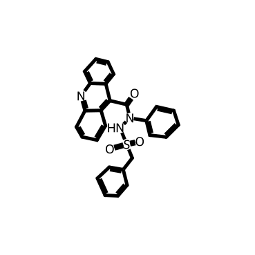 O=C(c1c2ccccc2nc2ccccc12)N(NS(=O)(=O)Cc1ccccc1)c1ccccc1